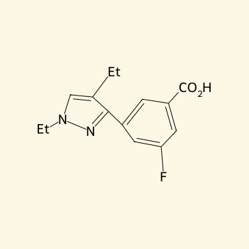 CCc1cn(CC)nc1-c1cc(F)cc(C(=O)O)c1